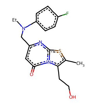 CCN(Cc1cc(=O)n2c(CCO)c(C)sc2n1)c1ccc(F)cc1